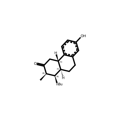 CCCC[C@@H]1[C@@H]2CCc3cc(O)ccc3[C@H]2CC(=O)[C@@H]1C